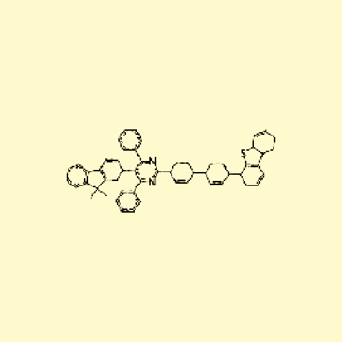 CC1(C)C2=C(C=CC(c3c(-c4ccccc4)nc(C4C=CC(C5C=CC(C6CC=CC7=C6SC6C=CCCC76)CC5)CC4)nc3-c3ccccc3)C2)c2ccccc21